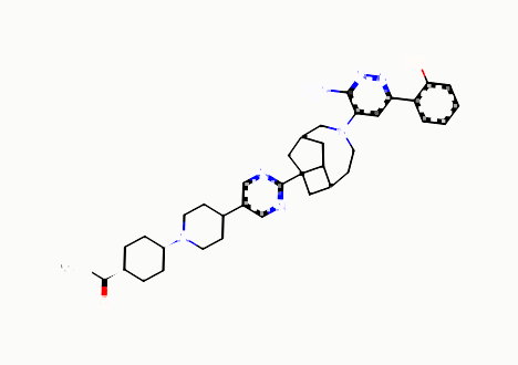 COC(=O)[C@H]1CC[C@@H](N2CCC(c3cnc(C45CC6CC4C(CCN(c4cc(-c7ccccc7O)nnc4N)C6)C5)nc3)CC2)CC1